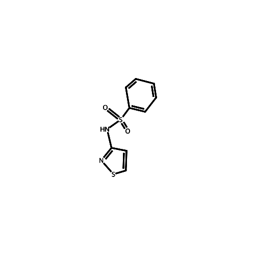 O=S(=O)(Nc1ccsn1)c1ccccc1